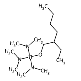 CCCCC(CC)C[O][Ti]([N](C)C)([N](C)C)[N](C)C